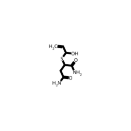 C=CC(O)SC(CC(N)=O)C(N)=O